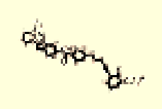 CN1CCC[C@@H]1c1cc2cnc(NC(=O)c3ccc(CCCC#Cc4cccc(C(=O)O)c4F)cc3)cc2[nH]1